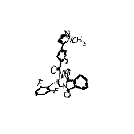 Cn1nccc1-c1csc(C(=O)N[C@@H](Cc2c(F)cccc2F)CN2C(=O)c3ccccc3C2=O)c1